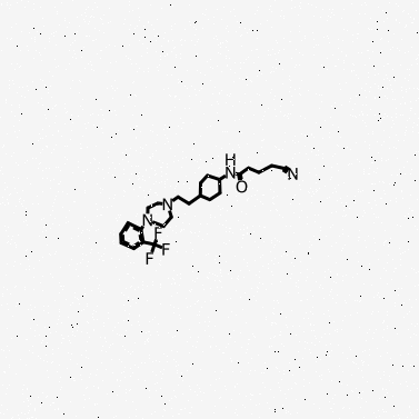 N#CCCCC(=O)NC1CCC(CCN2CCN(c3ccccc3C(F)(F)F)CC2)CC1